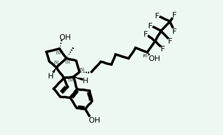 C=CC12CCc3cc(O)ccc3[C@H]1[C@@H](CCCCCC[C@@H](O)C(F)(F)C(F)(F)C(F)(F)F)C[C@]1(C)[C@@H](O)CC[C@@H]21